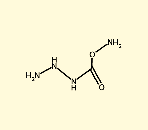 NNNC(=O)ON